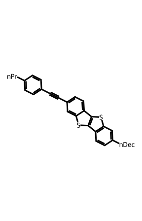 CCCCCCCCCCc1ccc2c(c1)sc1c3ccc(C#Cc4ccc(CCC)cc4)cc3sc21